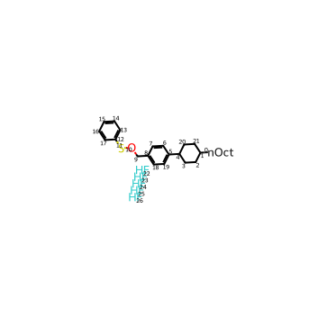 CCCCCCCCC1CCC(c2ccc(COSc3ccccc3)cc2)CC1.F.F.F.F.F